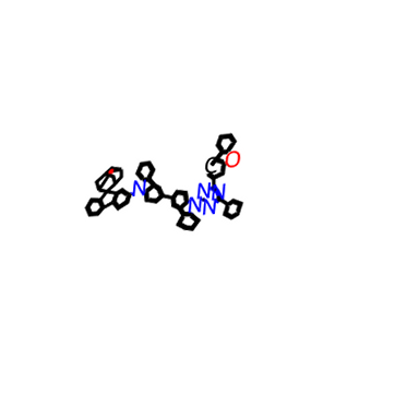 c1ccc(-c2nc(-c3ccc4c(c3)oc3ccccc34)nc(-n3c4ccccc4c4cc(-c5ccc6c(c5)c5ccccc5n6-c5ccc6c(c5)C5(c7ccccc7-6)C6CC7CC(C6)CC5C7)ccc43)n2)cc1